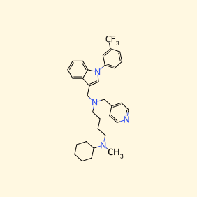 CN(CCCCN(Cc1ccncc1)Cc1cn(-c2cccc(C(F)(F)F)c2)c2ccccc12)C1CCCCC1